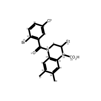 CCC1CN(C(=O)c2cc(Cl)ccc2Br)c2cc(C)c(C)cc2N1C(=O)O